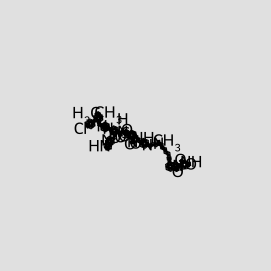 CN(CCCCCC#Cc1cccc2c1CN(C1CCC(=O)NC1=O)C2=O)CCCN1CCC(CNc2ccc(S(=O)(=O)NC(=O)c3ccc(N4CCN(CC5=C(c6ccc(Cl)cc6)CC(C)(C)CC5)CC4)cc3Oc3cnc4[nH]ccc4c3)cc2[N+](=O)[O-])CC1